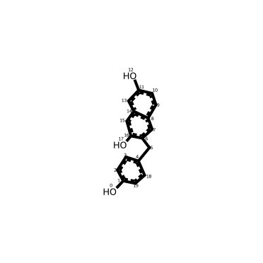 Oc1ccc(Cc2cc3ccc(O)cc3cc2O)cc1